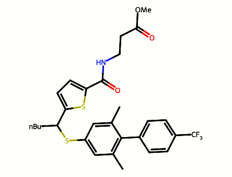 CCCCC(Sc1cc(C)c(-c2ccc(C(F)(F)F)cc2)c(C)c1)c1ccc(C(=O)NCCC(=O)OC)s1